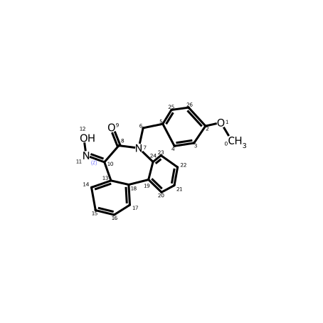 COc1ccc(Cn2c(=O)/c(=N\O)c3ccccc3c3ccccc32)cc1